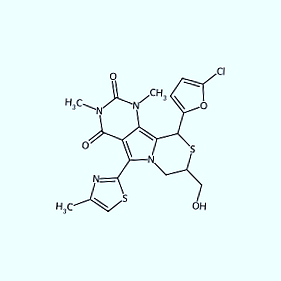 Cc1csc(-c2c3c(=O)n(C)c(=O)n(C)c3c3n2CC(CO)SC3c2ccc(Cl)o2)n1